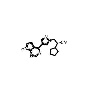 N#C[C@@H](Cn1cc(-c2ncnc3[nH]ccc23)cn1)C1CCCC1